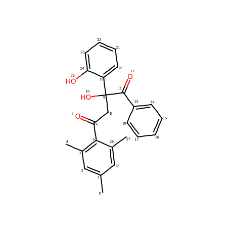 Cc1cc(C)c(C(=O)CC(O)(C(=O)c2ccccc2)c2ccccc2O)c(C)c1